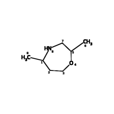 CC1CCOC(C)CN1